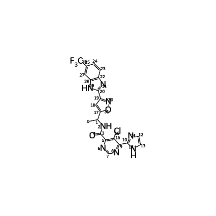 CC(NC(=O)c1ncnc(-c2ncc[nH]2)c1Cl)c1cc(-c2nc3ccc(C(F)(F)F)cc3[nH]2)no1